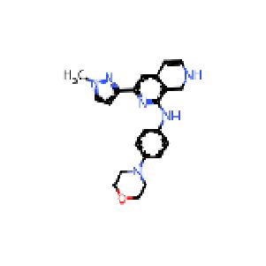 Cn1ccc(-c2cc3c(c(Nc4ccc(N5CCOCC5)cc4)n2)CNC=C3)n1